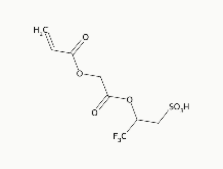 C=CC(=O)OCC(=O)OC(CS(=O)(=O)O)C(F)(F)F